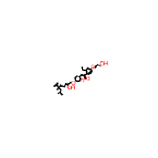 CCc1cc(OCCCO)ccc1C1=CC2C=CC(OCC(O)CCCC(C)(CC(C)C)C(C)C)=CC2OC1=O